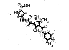 Cc1cc(NC(=O)c2c(C)c(C(=O)C(=O)N[C@@H]3CN[C@H](C(=O)O)C3)n(C)c2C)ccc1F